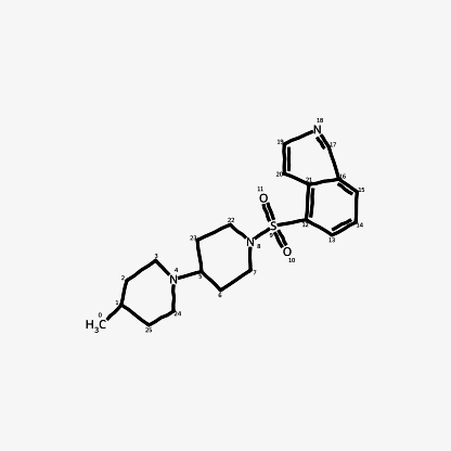 CC1CCN(C2CCN(S(=O)(=O)c3cccc4cnccc34)CC2)CC1